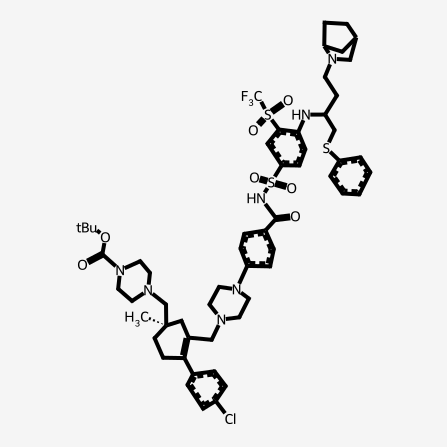 CC(C)(C)OC(=O)N1CCN(C[C@]2(C)CCC(c3ccc(Cl)cc3)=C(CN3CCN(c4ccc(C(=O)NS(=O)(=O)c5ccc(NC(CCN6CC7CCC6C7)CSc6ccccc6)c(S(=O)(=O)C(F)(F)F)c5)cc4)CC3)C2)CC1